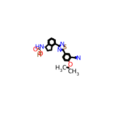 CC(C)Oc1ccc(-c2nc(-c3cccc4c3CC[C@@H]4N[SH](=O)=O)ns2)cc1C#N